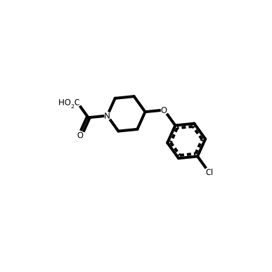 O=C(O)C(=O)N1CCC(Oc2ccc(Cl)cc2)CC1